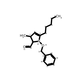 CCCCCC1=CC(C)C(C=O)N1OCc1ccccc1